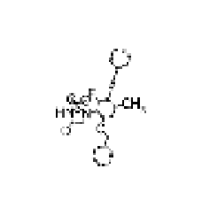 Cc1cc(OCc2ccccc2)c(N2CC(=O)NS2(=O)=O)c(F)c1C#Cc1ccccc1